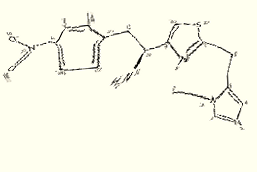 Cn1cncc1Cc1nc([C@@H](N)Cc2ccc([N+](=O)[O-])cc2)cs1